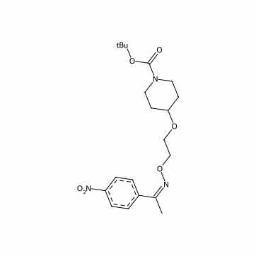 CC(=NOCCOC1CCN(C(=O)OC(C)(C)C)CC1)c1ccc([N+](=O)[O-])cc1